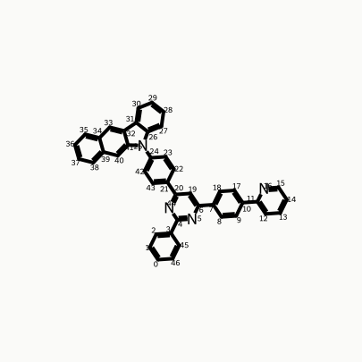 c1ccc(-c2nc(-c3ccc(-c4ccccn4)cc3)cc(-c3ccc(-n4c5ccccc5c5cc6ccccc6cc54)cc3)n2)cc1